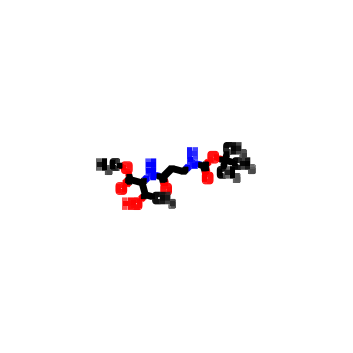 COC(=O)C(NC(=O)CCNC(=O)OC(C)(C)C)C(C)O